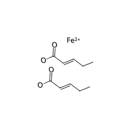 CCC=CC(=O)[O-].CCC=CC(=O)[O-].[Fe+2]